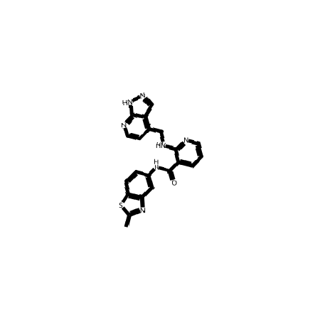 Cc1nc2cc(NC(=O)c3cccnc3NCc3ccnc4[nH]ncc34)ccc2s1